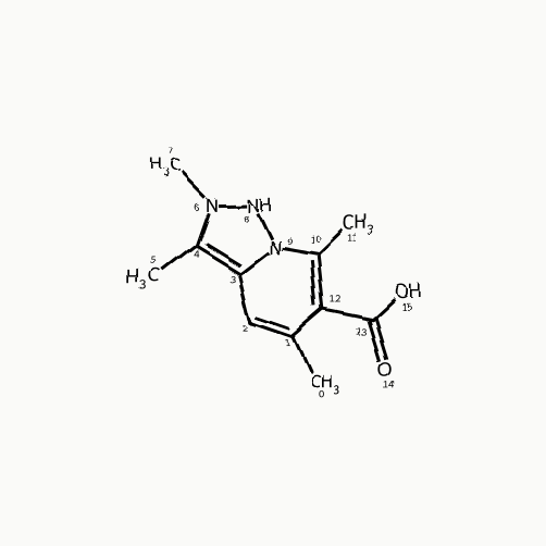 CC1=CC2=C(C)N(C)NN2C(C)=C1C(=O)O